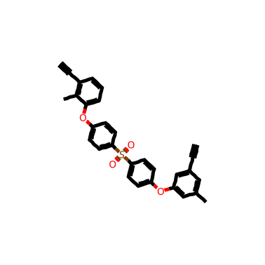 C#Cc1cc(C)cc(Oc2ccc(S(=O)(=O)c3ccc(Oc4cccc(C#C)c4C)cc3)cc2)c1